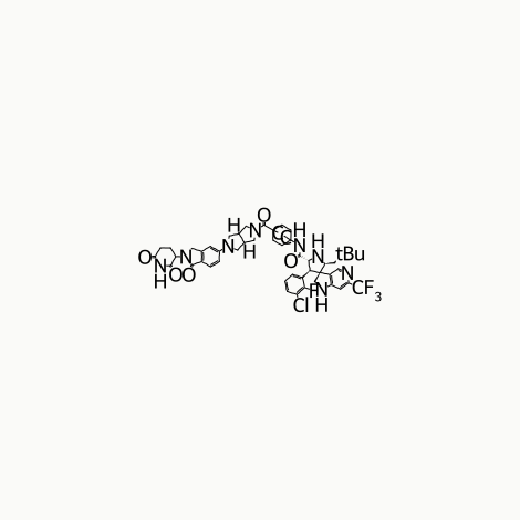 CC(C)(C)C[C@@H]1N[C@@H](C(=O)NC23CCC(C(=O)N4C[C@H]5CN(c6ccc7c(c6)CN(C6CCC(=O)NC6=O)C7=O)C[C@@H]5C4)(CC2)CC3)[C@H](c2cccc(Cl)c2F)[C@]12CNc1cc(C(F)(F)F)ncc12